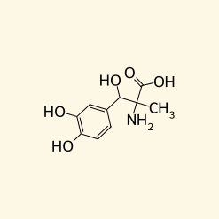 CC(N)(C(=O)O)C(O)c1ccc(O)c(O)c1